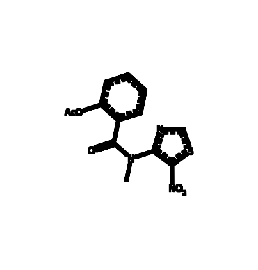 CC(=O)Oc1ccccc1C(=O)N(C)c1ncsc1[N+](=O)[O-]